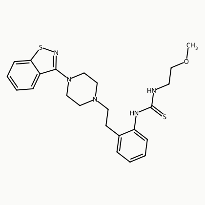 COCCNC(=S)Nc1ccccc1CCN1CCN(c2nsc3ccccc23)CC1